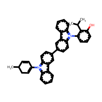 CC1C=CC(n2c3ccccc3c3cc(-c4ccc5c(c4)c4ccccc4n5-c4cccc(O)c4C(C)C)ccc32)=CC1